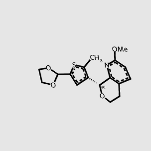 COc1ccc2c(n1)[C@@H](c1cc(C3OCCO3)sc1C)OCC2